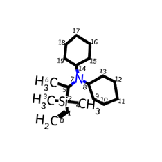 C=C[Si](C)(C)C(C)N(C1CCCCC1)C1CCCCC1